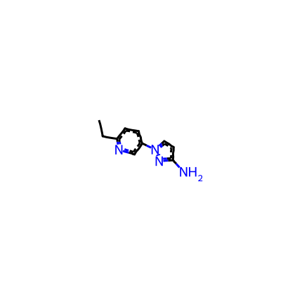 CCc1ccc(-n2ccc(N)n2)cn1